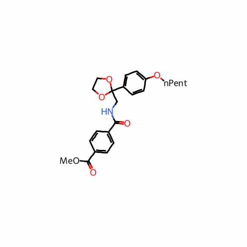 CCCCCOc1ccc(C2(CNC(=O)c3ccc(C(=O)OC)cc3)OCCO2)cc1